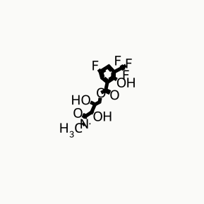 C[N]C(=O)C(O)C(O)COC(=O)c1cc(F)cc(C(F)(F)F)c1O